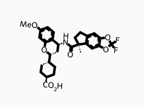 COc1ccc2c(c1)O[C@@H]([C@H]1CC[C@H](C(=O)O)CC1)C[C@H]2NC(=O)[C@@]1(C)CCc2cc3c(cc21)OC(F)(F)O3